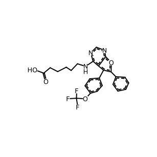 O=C(O)CCCCCNc1ncnc2oc(-c3ccccc3)c(-c3ccc(OC(F)(F)F)cc3)c12